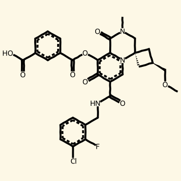 COC[C@H]1C[C@]2(CN(C)C(=O)c3c(OC(=O)c4cccc(C(=O)O)c4)c(=O)c(C(=O)NCc4cccc(Cl)c4F)cn32)C1